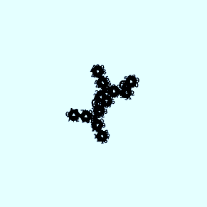 c1ccc(-c2ccc(N(c3ccc(-c4ccccc4)cc3)c3ccc4c(c3)Oc3ccc(N(c5ccc(-c6ccccc6)cc5)c5ccc(-c6cccc7c6oc6ccccc67)cc5)c5cccc-4c35)cc2)cc1